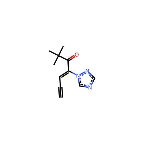 C#C/C=C(/C(=O)C(C)(C)C)n1cncn1